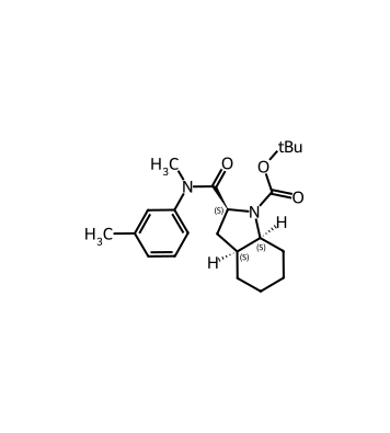 Cc1cccc(N(C)C(=O)[C@@H]2C[C@@H]3CCCC[C@@H]3N2C(=O)OC(C)(C)C)c1